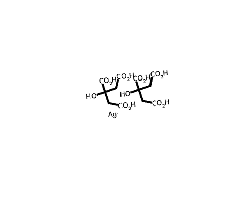 O=C(O)CC(O)(CC(=O)O)C(=O)O.O=C(O)CC(O)(CC(=O)O)C(=O)O.[Ag]